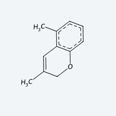 CC1=Cc2c(C)cccc2OC1